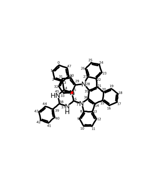 c1ccc(C2=NC(n3c4ccccc4c4c5ccccc5c5c6ccccc6n(-c6ccccc6)c5c43)NC(c3ccccc3)N2)cc1